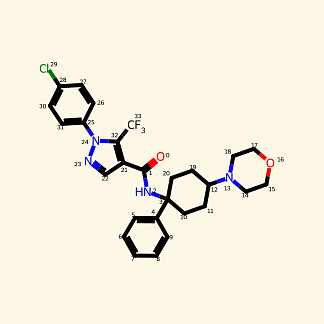 O=C(NC1(c2ccccc2)CCC(N2CCOCC2)CC1)c1cnn(-c2ccc(Cl)cc2)c1C(F)(F)F